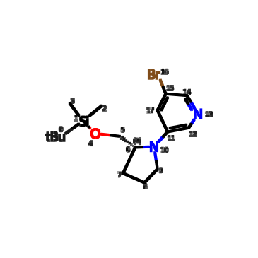 CC(C)(C)[Si](C)(C)OC[C@H]1CCCN1c1cncc(Br)c1